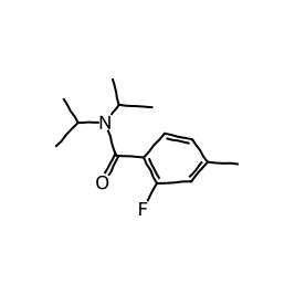 Cc1ccc(C(=O)N(C(C)C)C(C)C)c(F)c1